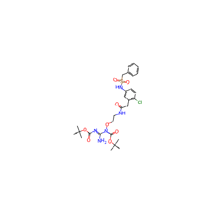 CC(C)(C)OC(=O)N=C(N)N(OCCNC(=O)Cc1cc(NS(=O)(=O)Cc2ccccc2)ccc1Cl)C(=O)OC(C)(C)C